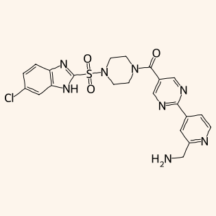 NCc1cc(-c2ncc(C(=O)N3CCN(S(=O)(=O)c4nc5ccc(Cl)cc5[nH]4)CC3)cn2)ccn1